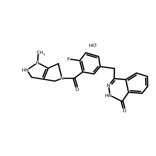 CN1NCC2=C1CN(C(=O)c1cc(Cc3n[nH]c(=O)c4ccccc34)ccc1F)C2.Cl